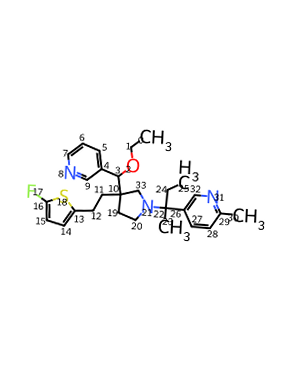 CCOC(c1cccnc1)C1(CCc2ccc(F)s2)CCN(C(C)(CC)c2ccc(C)nc2)C1